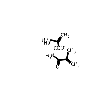 C=C(C)C(=O)[O-].C=C(C)C(N)=O.[Na+]